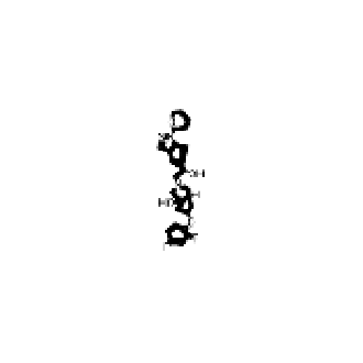 O[C@H](CN1C[C@@H]2C[C@@H](Oc3ccc(F)cc3F)C[C@]2(O)C1)c1ccc2c(cnn2C2CCCCO2)c1